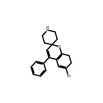 CCC1=CC2=C(CC1)OC1(C=C2c2ccccc2)CCNCC1